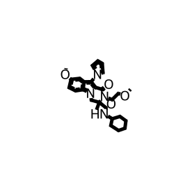 COCCN1C(=O)c2c(-n3cccc3)c3cc(OC)ccc3n2CC1(C)C(=O)NC1CCCCC1